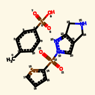 Cc1ccc(S(=O)(=O)O)cc1.O=S(=O)(c1cccs1)n1cc2c(n1)CNC2